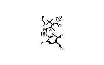 CCCC[C@@H](Nc1nc(Cl)c(C#N)cc1F)[C@H](C)N(C(=O)O)C(C)(C)C